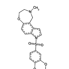 CN1CCOc2ccc3c(ccn3S(=O)(=O)c3ccc4c(c3)OCCO4)c2C1